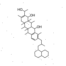 CC1=C(C(C)O)C(O)C2(C)C(C)C3C(O)c4c(ccc(CC(C)CC5CCCC6CCCCC65)c4C)C(C)C3(C)C(C)C2(C)C1